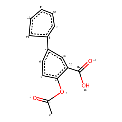 CC(=O)Oc1ccc(-c2ccccc2)cc1C(=O)O